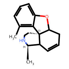 Cc1cccc2c1[C@]13CCN[C@H](C)C1C=CCC3O2